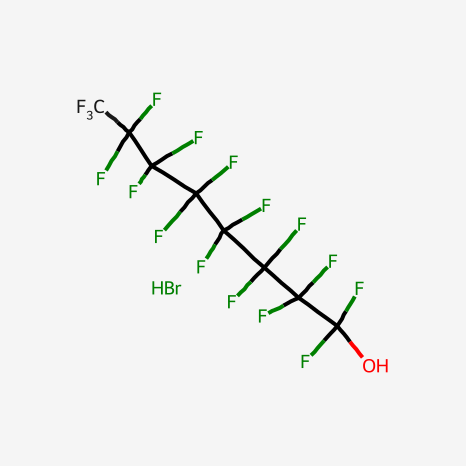 Br.OC(F)(F)C(F)(F)C(F)(F)C(F)(F)C(F)(F)C(F)(F)C(F)(F)C(F)(F)F